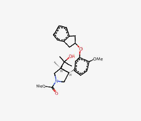 COC(=O)N1C[C@@H](c2ccc(OC)c(OC3Cc4ccccc4C3)c2)[C@](C)(C(C)(C)O)C1